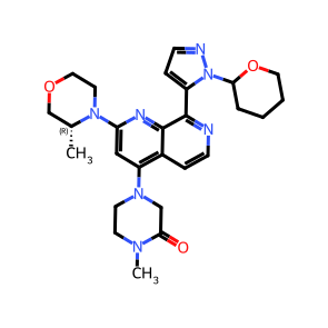 C[C@@H]1COCCN1c1cc(N2CCN(C)C(=O)C2)c2ccnc(-c3ccnn3C3CCCCO3)c2n1